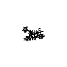 FC(F)(F)c1cccnc1-c1ccc2c(NCCc3ccccc3)nc(CN3CCCC3)nc2c1